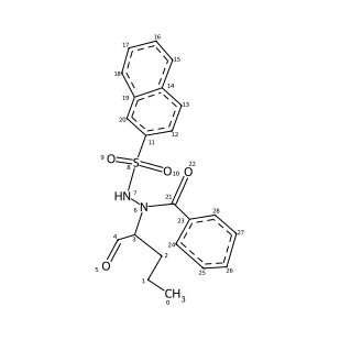 CCCC(C=O)N(NS(=O)(=O)c1ccc2ccccc2c1)C(=O)c1ccccc1